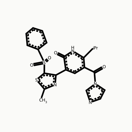 Cc1nc(-c2cc(C(=O)n3ccnc3)c(C(C)C)[nH]c2=O)c(S(=O)(=O)c2ccccc2)s1